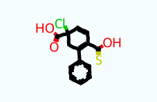 O=C(O)C1(Cl)C=CC(C(O)=S)=C(c2ccccc2)C1